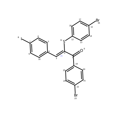 O=C(/C(=C/c1ccc(I)cc1)Sc1ccc(Br)cc1)c1ccc(Br)cc1